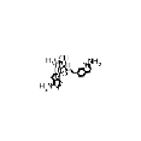 CC1(C)O[C@@H]2[C@H](O1)[C@@H](CCc1ccc3ccc(N)nc3c1)O[C@H]2n1ccc2c(N)ncnc21